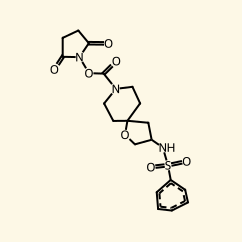 O=C(ON1C(=O)CCC1=O)N1CCC2(CC1)CC(NS(=O)(=O)c1ccccc1)CO2